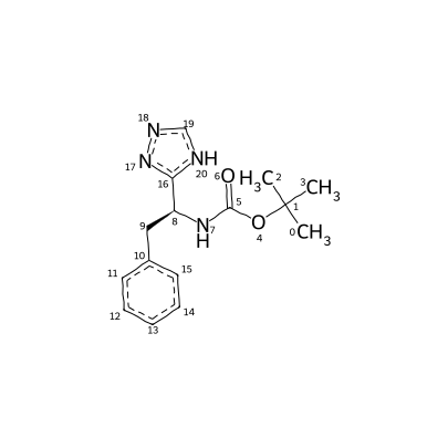 CC(C)(C)OC(=O)N[C@@H](Cc1ccccc1)c1nnc[nH]1